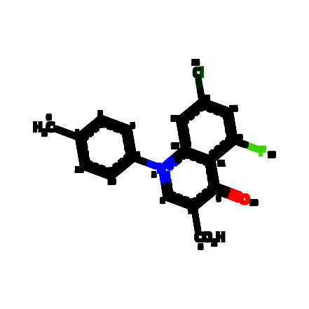 Cc1ccc(-n2cc(C(=O)O)c(=O)c3c(F)cc(Cl)cc32)cc1